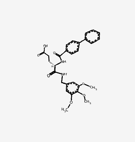 COc1cc(CNC(=O)[C@H](CCC(=O)O)NC(=O)c2ccc(-c3ccccc3)cc2)cc(OC)c1OC